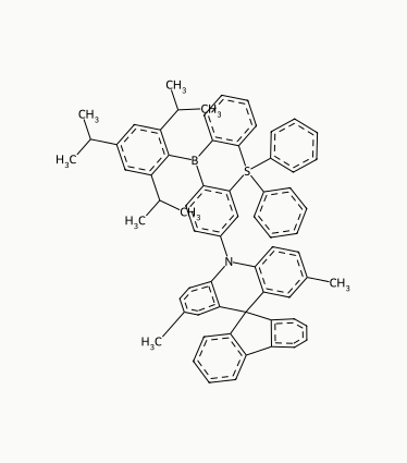 Cc1ccc2c(c1)C1(c3ccccc3-c3ccccc31)c1cc(C)ccc1N2c1ccc2c(c1)S(c1ccccc1)(c1ccccc1)c1ccccc1B2c1c(C(C)C)cc(C(C)C)cc1C(C)C